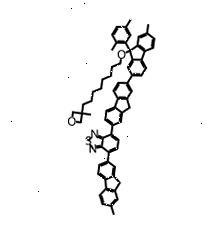 Cc1ccc2c(c1)Cc1cc(-c3ccc(-c4ccc5c(c4)Cc4cc(-c6ccc7c(c6)C(OCCCCCCCCC6(C)COC6)(c6cc(C)ccc6C)c6cc(C)ccc6-7)ccc4-5)c4nsnc34)ccc1-2